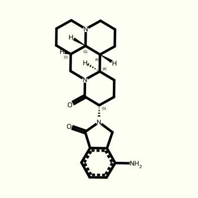 Nc1cccc2c1CN([C@H]1CC[C@@H]3[C@H]4CCCN5CCC[C@@H](CN3C1=O)[C@@H]45)C2=O